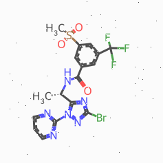 C[C@H](NC(=O)c1cc(C(F)(F)F)cc(S(C)(=O)=O)c1)c1nc(Br)nn1-c1ncccn1